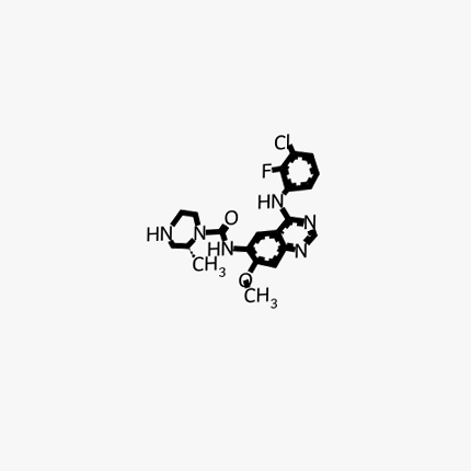 COc1cc2ncnc(Nc3cccc(Cl)c3F)c2cc1NC(=O)N1CCNC[C@H]1C